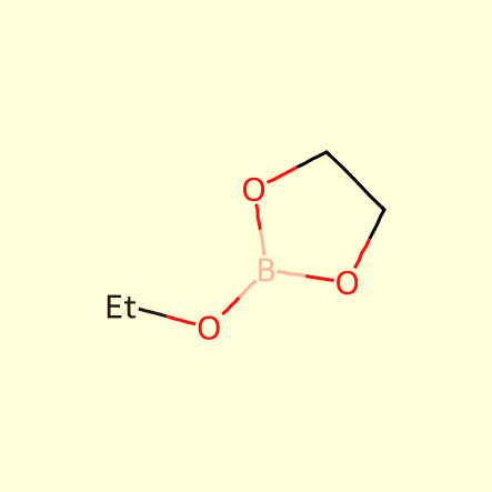 CCOB1OCCO1